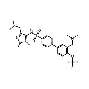 Cc1c(NS(=O)(=O)c2ccc(-c3ccc(OC(F)(F)F)c(CN(C)C)c3)cc2)c(CC(C)C)nn1C